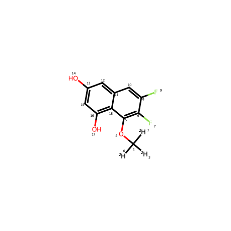 [2H]C([2H])([2H])Oc1c(F)c(F)cc2cc(O)cc(O)c12